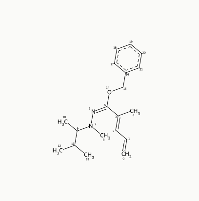 C=C/C=C(C)/C(=N\N(C)C(C)C(C)C)OCc1ccccc1